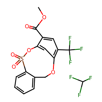 COC(=O)c1cc(C(F)(F)F)c2cc1OS(=O)(=O)c1ccccc1CO2.FC(F)F